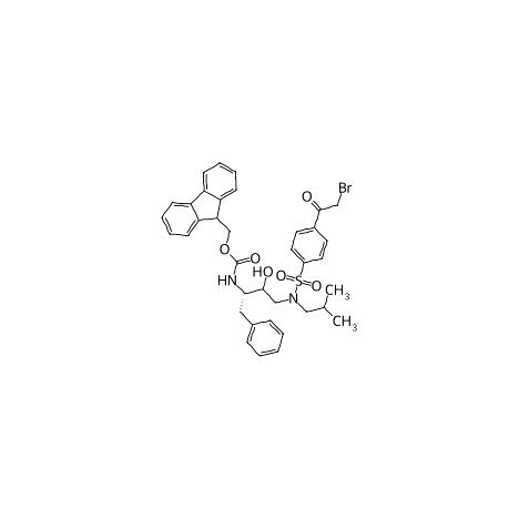 CC(C)CN(CC(O)[C@H](Cc1ccccc1)NC(=O)OCC1c2ccccc2-c2ccccc21)S(=O)(=O)c1ccc(C(=O)CBr)cc1